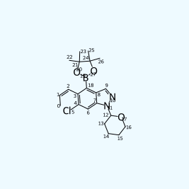 C/C=C\c1c(Cl)cc2c(cnn2C2CCCCO2)c1B1OC(C)(C)C(C)(C)O1